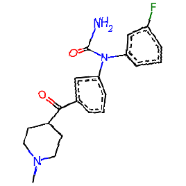 CN1CCC(C(=O)c2cccc(N(C(N)=O)c3cccc(F)c3)c2)CC1